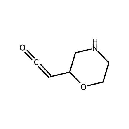 O=C=CC1CNCCO1